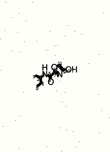 CCC(C)NC(=O)c1nc(O)co1